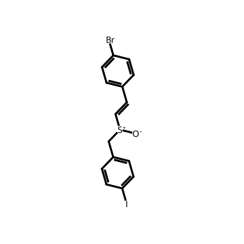 [O-][S+](/C=C/c1ccc(Br)cc1)Cc1ccc(I)cc1